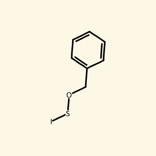 ISOCc1ccccc1